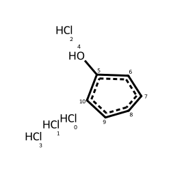 Cl.Cl.Cl.Cl.Oc1ccccc1